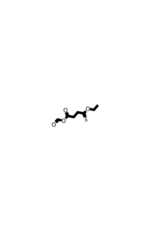 CCOC(=S)CCC(=O)OC=O